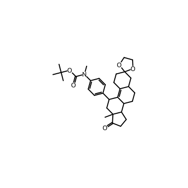 CN(C(=O)OC(C)(C)C)c1ccc(C2CC3(C)C(=O)CCC3C3CCC4CC5(CCC4=C23)OCCO5)cc1